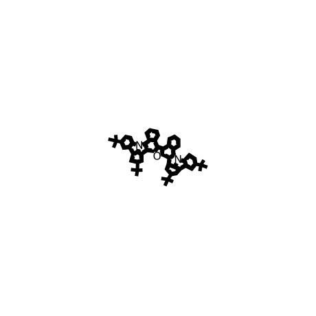 CC(C)(C)c1ccc2c(c1)c1cc(C(C)(C)C)cc3c4c5oc6c(c7ccccc7c7c6c6cc(C(C)(C)C)cc8c9cc(C(C)(C)C)ccc9n7c86)c5c5ccccc5c4n2c13